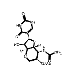 CO[C@@H]1CO[C@H]2[C@@H](O)[C@H](c3c[nH]c(=O)[nH]c3=O)O[C@@H]2[C@@H]1NC(N)=O